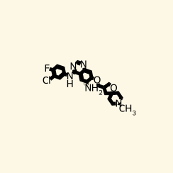 CN1CCC2(CC1)CC(COC1C=c3ncnc(Nc4ccc(F)c(Cl)c4)c3=C[C@@H]1N)CO2